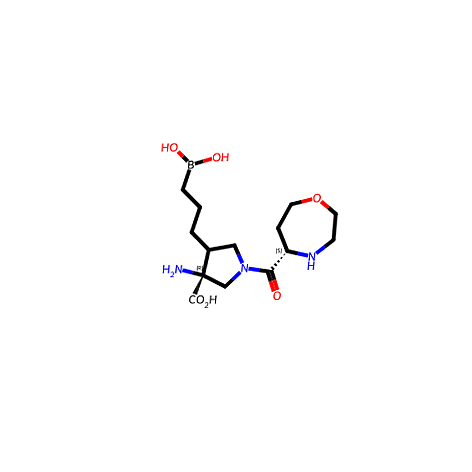 N[C@@]1(C(=O)O)CN(C(=O)[C@@H]2CCOCCN2)CC1CCCB(O)O